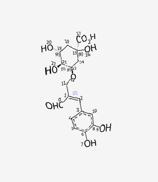 O=C/C(=C\c1ccc(O)c(O)c1)CO[C@@H]1C[C@@](O)(C(=O)O)C[C@@H](O)[C@@H]1O